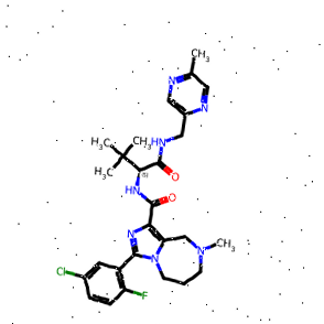 Cc1cnc(CNC(=O)[C@@H](NC(=O)c2nc(-c3cc(Cl)ccc3F)n3c2CN(C)CCC3)C(C)(C)C)cn1